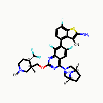 CCN1CC[C@H](C(F)F)[C@](C)(COc2nc(N3C[C@H]4CC[C@@H](C3)N4)c3cc(F)c(-c4ccc(F)c5sc(N)c(C#N)c45)c(F)c3n2)C1